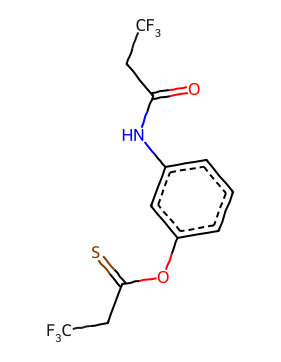 O=C(CC(F)(F)F)Nc1cccc(OC(=S)CC(F)(F)F)c1